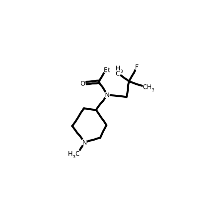 CCC(=O)N(CC(C)(C)F)C1CCN(C)CC1